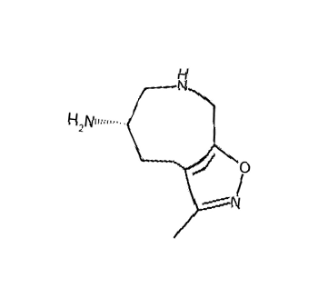 Cc1noc2c1C[C@H](N)CNC2